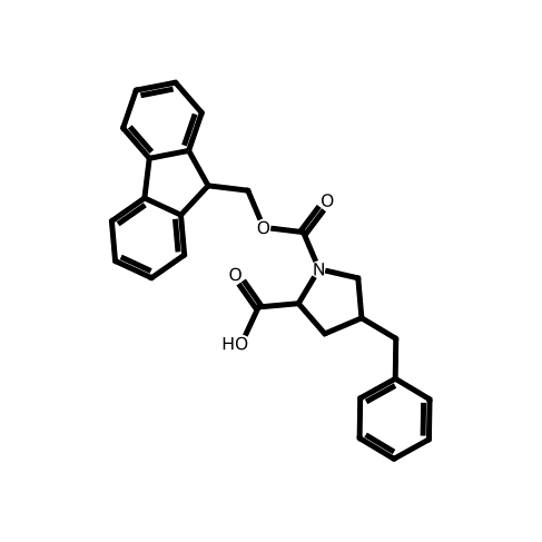 O=C(O)C1CC(Cc2ccccc2)CN1C(=O)OCC1c2ccccc2-c2ccccc21